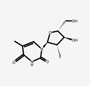 Cc1cn([C@H]2O[C@H](CO)[C@@H](O)[C@@H]2F)c(=O)[nH]c1=O